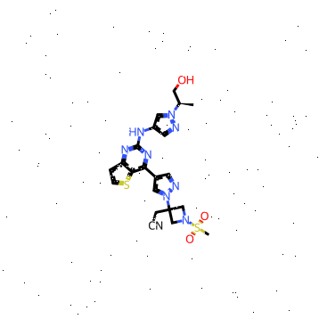 C[C@H](CO)n1cc(Nc2nc(-c3cnn(C4(CC#N)CN(S(C)(=O)=O)C4)c3)c3sccc3n2)cn1